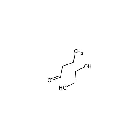 CCCC=O.OCCO